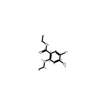 CCOC(=O)c1cc(F)c(Cl)cc1OCC